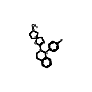 CN1CC[C@]2(CN=C(N3CCc4ccccc4[C@@H]3c3ccc(F)cc3)O2)C1